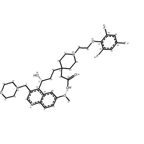 COc1ccc2ncc(CN3CCOCC3)c([C@H](O)CCC3(CC(=O)O)CCN(CCOc4c(F)cc(F)cc4F)CC3)c2c1